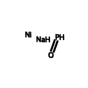 O=P.[NaH].[Ni]